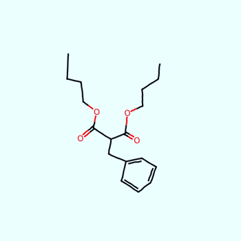 CCCCOC(=O)C(Cc1ccccc1)C(=O)OCCCC